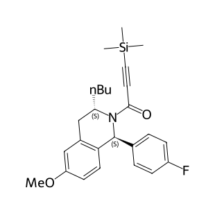 CCCC[C@H]1Cc2cc(OC)ccc2[C@H](c2ccc(F)cc2)N1C(=O)C#C[Si](C)(C)C